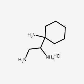 Cl.NCC(N)C1(N)CCCCC1